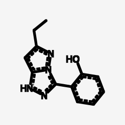 CCc1cc2[nH]nc(-c3ccccc3O)n2n1